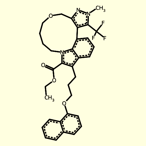 CCOC(=O)c1c(CCCOc2cccc3ccccc23)c2cccc3c2n1CCCCOCc1nn(C)c(C(F)(F)F)c1-3